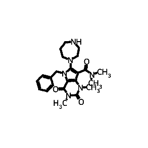 CN(C)C(=O)c1c(N2CCCNCC2)n(Cc2ccccc2)c2c(=O)n(C)c(=O)n(C)c12